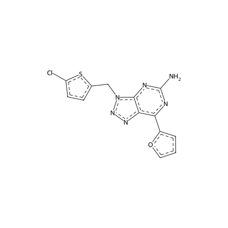 Nc1nc(-c2ccco2)c2nnn(Cc3ccc(Cl)s3)c2n1